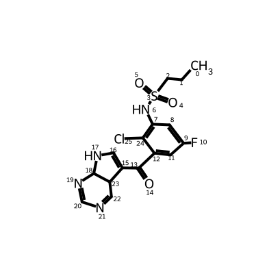 CCCS(=O)(=O)Nc1cc(F)cc(C(=O)C2=CNC3N=CN=CC23)c1Cl